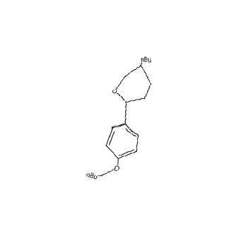 CCCCOc1ccc(C2CCC(CCCC)CO2)cc1